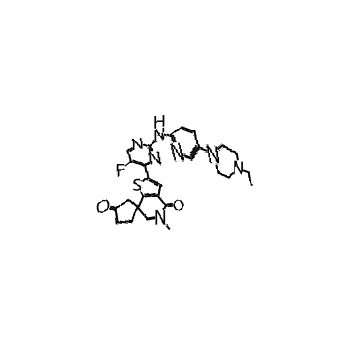 CCN1CCN(c2ccc(Nc3ncc(F)c(-c4cc5c(s4)C4(CCC(=O)C4)CN(C)C5=O)n3)nc2)CC1